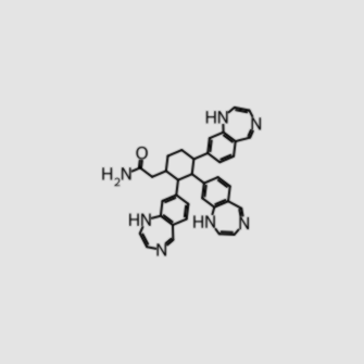 NC(=O)CC1CCC(c2ccc3c(c2)NC=CN=C3)C(c2ccc3c(c2)NC=CN=C3)C1c1ccc2c(c1)NC=CN=C2